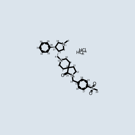 CN1C[C@H](CN2CCC3(CC2)CCN(Cc2ccc(S(C)(=O)=O)cc2)C3=O)[C@@H](c2ccccc2)C1.Cl.Cl